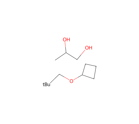 CC(C)(C)COC1CCC1.CC(O)CO